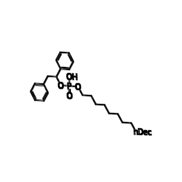 CCCCCCCCCCCCCCCCCCOP(=O)(O)OC(Cc1ccccc1)c1ccccc1